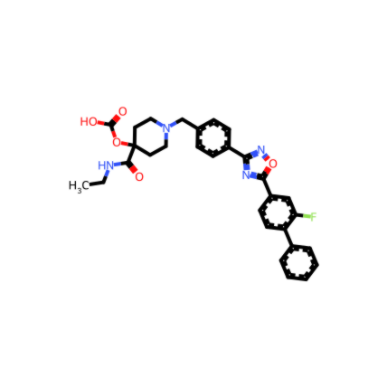 CCNC(=O)C1(OC(=O)O)CCN(Cc2ccc(-c3noc(-c4ccc(-c5ccccc5)c(F)c4)n3)cc2)CC1